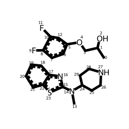 CC(O)COc1ccc(F)c(F)c1.CN(c1nc2ccccc2s1)C1CCNCC1